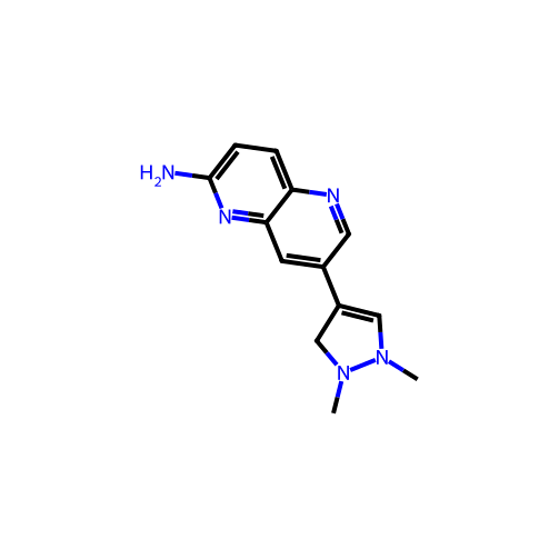 CN1C=C(c2cnc3ccc(N)nc3c2)CN1C